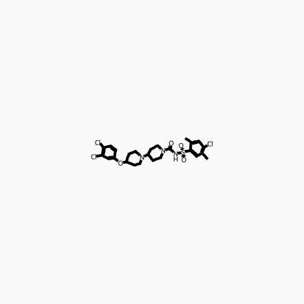 Cc1cc(S(=O)(=O)NC(=O)N2CCC(N3CCC(Oc4ccc(Cl)c(Cl)c4)CC3)CC2)c(C)cc1Cl